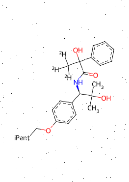 [2H]C([2H])([2H])C(O)(C(=O)N[C@H](c1ccc(OCC(C)CCC)cc1)C(C)(C)O)c1ccccc1